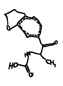 CC(NC(=O)O)C(=O)c1ccc2c(c1)OCC2